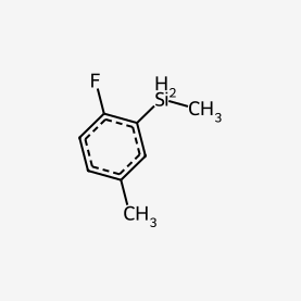 C[SiH2]c1cc(C)ccc1F